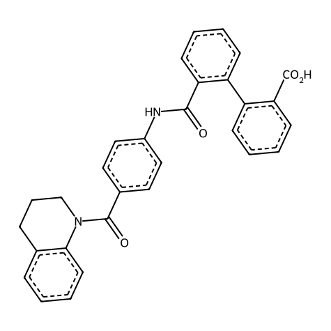 O=C(O)c1ccccc1-c1ccccc1C(=O)Nc1ccc(C(=O)N2CCCc3ccccc32)cc1